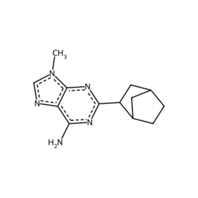 Cn1cnc2c(N)nc(C3CC4CCC3C4)nc21